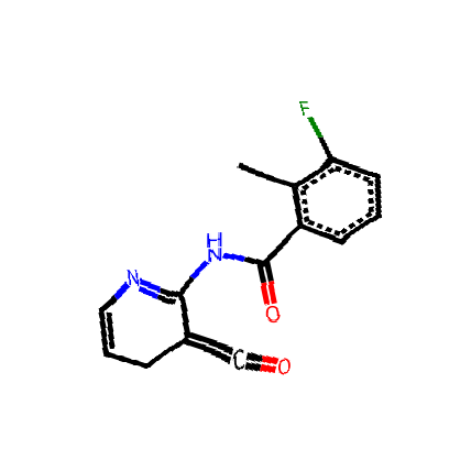 Cc1c(F)cccc1C(=O)NC1=NC=CCC1=C=O